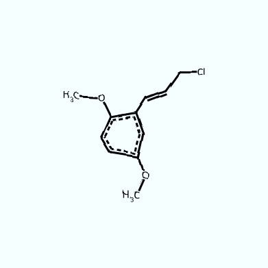 COc1ccc(OC)c(/C=C/CCl)c1